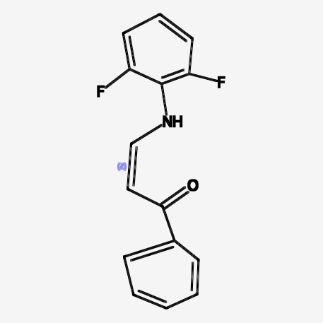 O=C(/C=C\Nc1c(F)cccc1F)c1ccccc1